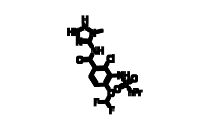 CCCS(=O)(=O)Nc1c(OC(F)F)ccc(C(=O)NC2=NNNN2C)c1Cl